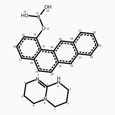 C1CN=C2NCCCN2C1.OB(O)Oc1cccc2ccc3cc4ccccc4cc3c12